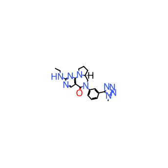 CCNc1ncc2c(n1)N1CCC[C@H]1CN(c1cccc(-c3nnnn3C)c1)C2=O